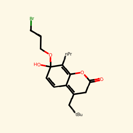 CCCC1=C2OC(=O)CC(CC(C)(C)C)=C2C=CC1(O)OCCCBr